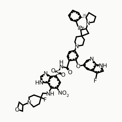 CC(C)c1ccccc1[C@@H]1CCCN1C1CC2(CCN(c3ccc(C(=O)NS(=O)(=O)c4cc([N+](=O)[O-])c(NCC5(F)CCN(C6COC6)CC5)c5[nH]cnc45)c(Oc4cnc5[nH]cc(F)c5c4)c3)CC2)C1